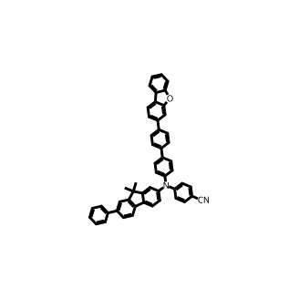 CC1(C)c2cc(-c3ccccc3)ccc2-c2ccc(N(c3ccc(C#N)cc3)c3ccc(-c4ccc(-c5ccc6c(c5)oc5ccccc56)cc4)cc3)cc21